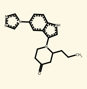 CCCC1CC(=O)CCN1c1c[nH]c2ccc(-n3cnnc3)cc12